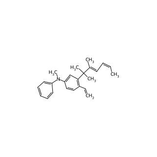 C=Cc1ccc(N(C)c2ccccc2)cc1C(C)(C)/C(C)=C/C=C\C